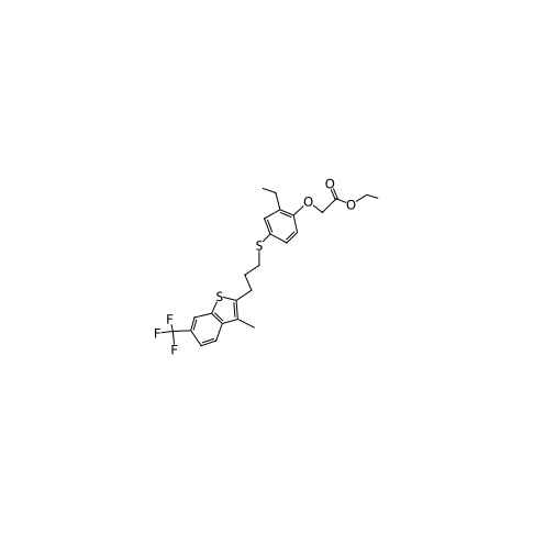 CCOC(=O)COc1ccc(SCCCc2sc3cc(C(F)(F)F)ccc3c2C)cc1CC